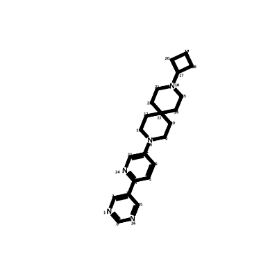 c1ncc(-c2ccc(N3CCC4(CC3)CCN(C3CCC3)CC4)cn2)cn1